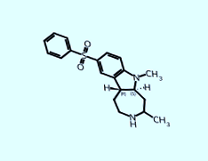 CC1C[C@H]2[C@H](CCN1)c1cc(S(=O)(=O)c3ccccc3)ccc1N2C